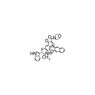 CC(CC1=CNC2C=CC=CC12)Nc1c(F)cc2c(=O)c(C(=O)N3CCOCC3)cn3c2c1Oc1cc2ccccc2cc1-3